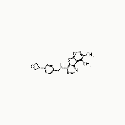 Cc1nnc2sc3c(NCc4ccc(C5COC5)cc4)ncnc3c2c1C